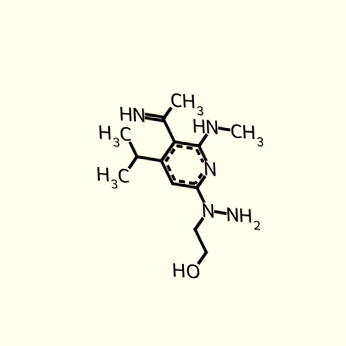 CNc1nc(N(N)CCO)cc(C(C)C)c1C(C)=N